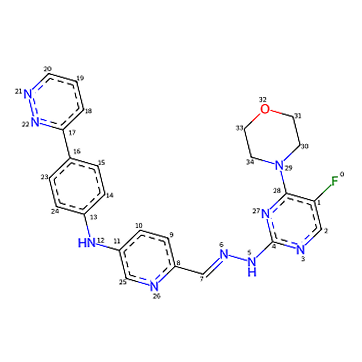 Fc1cnc(N/N=C/c2ccc(Nc3ccc(-c4cccnn4)cc3)cn2)nc1N1CCOCC1